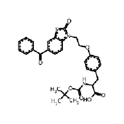 CC(C)(C)OC(=O)NC(Cc1ccc(OCCn2c(=O)sc3cc(C(=O)c4ccccc4)ccc32)cc1)C(=O)O